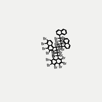 Brc1ccc2c(C(Br)(C(Br)(Br)C(Br)(Br)C(Br)(Br)c3c(Br)c(Br)c(Br)c4c(Br)c(Br)c(Br)c(Br)c34)C(Br)(Br)C(Br)(c3cccc4ccccc34)C(Br)(Br)C(Br)(Br)C(Br)(Br)c3cccc4ccccc34)c(Br)c(Br)c(Br)c2c1Br